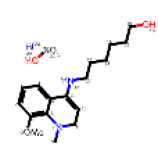 COc1cccc2c1N(C)CC=C2NCCCCCCO.I.O=[N+]([O-])O